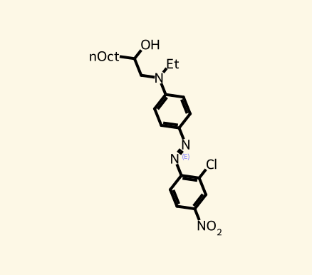 CCCCCCCCC(O)CN(CC)c1ccc(/N=N/c2ccc([N+](=O)[O-])cc2Cl)cc1